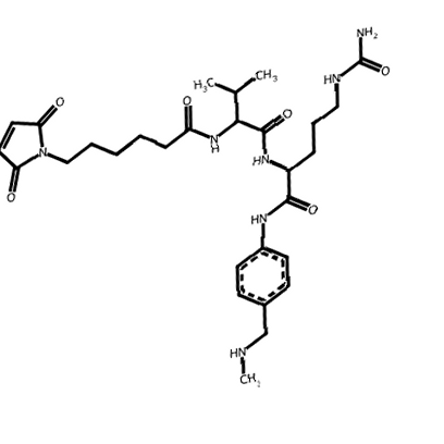 CNCc1ccc(NC(=O)C(CCCNC(N)=O)NC(=O)C(NC(=O)CCCCCN2C(=O)C=CC2=O)C(C)C)cc1